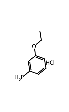 CCOc1cccc(P)c1.Cl